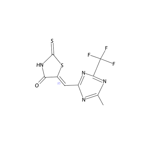 Cc1nc(/C=C2\SC(=S)NC2=O)nc(C(F)(F)F)n1